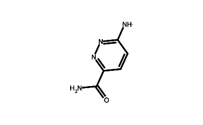 [NH]c1ccc(C(N)=O)nn1